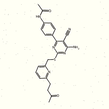 CC(=O)CCc1cccc(CSc2nc(N)c(C#N)c(-c3ccc(NC(C)=O)cc3)n2)n1